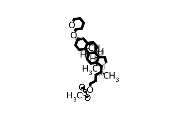 C[C@H](CCCOS(C)(=O)=O)[C@H]1CC[C@H]2[C@@H]3CC=C4C[C@@H](OC5CCCCO5)CC[C@]4(C)[C@H]3CC[C@]12C